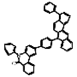 O=c1c2ccccc2c2cc(-c3ccc(-c4c5ccccc5cc5c4ccc4c(-c6ccccc6)cccc45)cc3)ccc2n1-c1ccccc1